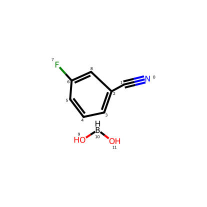 N#Cc1cccc(F)c1.OBO